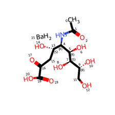 CC(=O)N[C@@H]([C@@H](O)[C@H](O)[C@H](O)CO)[C@@H](O)CC(=O)C(=O)O.[BaH2]